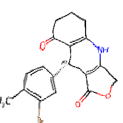 Cc1ccc([C@@H]2C3=C(CCCC3=O)NC3=C2C(=O)OC3)cc1Br